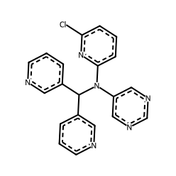 Clc1cccc(N(c2cncnc2)C(c2cccnc2)c2cccnc2)n1